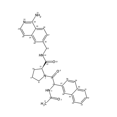 CC(=O)NC(C(=O)N1CCC[C@H]1C(=O)NCc1ccc2c(N)nccc2c1)c1ccc2ccccc2c1